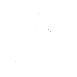 CC(C)(C)ON(Cc1ccc(C#N)cc1)N1CC2CC2[C@H]1C(=O)O